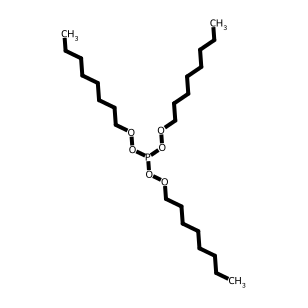 CCCCCCCCOOP(OOCCCCCCCC)OOCCCCCCCC